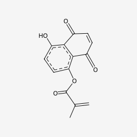 C=C(C)C(=O)Oc1ccc(O)c2c1C(=O)C=CC2=O